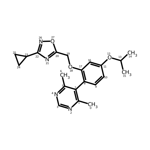 Cc1ncnc(C)c1-c1ccc(OC(C)C)cc1OCc1nc(C2CC2)no1